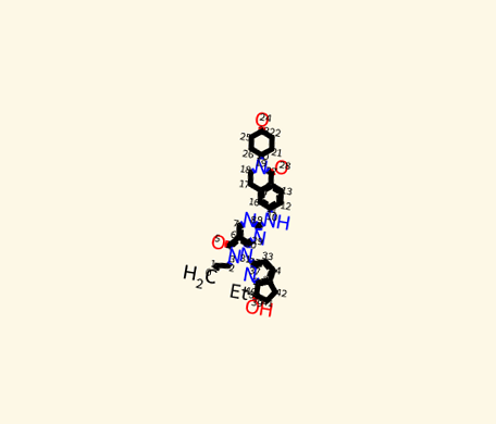 C=CCn1c(=O)c2cnc(Nc3ccc4c(c3)CCN(C3CCC(=O)CC3)C4=O)nc2n1-c1ccc2c(n1)[C@@](O)(CC)CC2